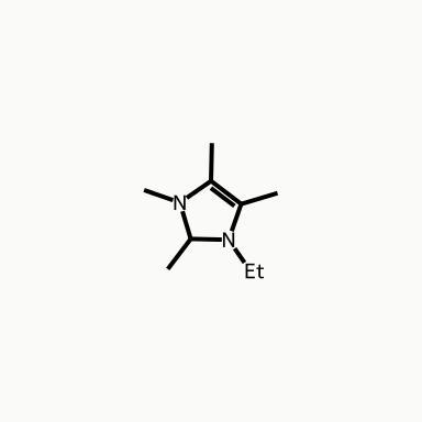 CCN1C(C)=C(C)N(C)C1C